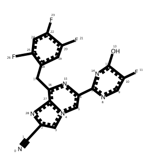 N#Cc1cn2cc(-c3ncc(F)c(O)n3)nc(Cc3cc(F)c(F)cc3F)c2n1